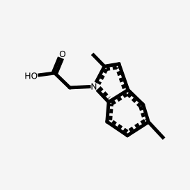 Cc1ccc2c(c1)cc(C)n2CC(=O)O